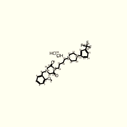 COc1ccccc1CN1CC(=O)N(CCCCN2CCN(c3cccc(C(F)(F)F)c3)CC2)C(=O)C1.Cl.Cl